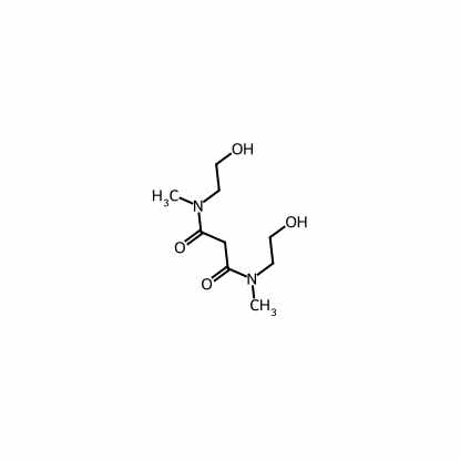 CN(CCO)C(=O)CC(=O)N(C)CCO